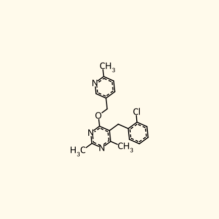 Cc1ccc(COc2nc(C)nc(C)c2Cc2ccccc2Cl)cn1